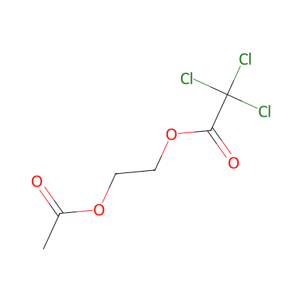 CC(=O)OCCOC(=O)C(Cl)(Cl)Cl